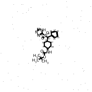 CC(C)(C)OC(=O)NC1CCC(C(c2ccccc2)S(=O)(=O)c2nnn[nH]2)CC1